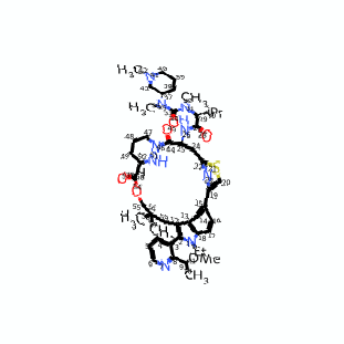 CCn1c(-c2cccnc2[C@H](C)OC)c2c3cc(ccc31)-c1csc(n1)C[C@H](NC(=O)[C@H](C(C)C)N(C)C(=O)N(C)[C@H]1CCCN(C)C1)C(=O)N1CCC[C@H](N1)C(=O)OCC(C)(C)C2